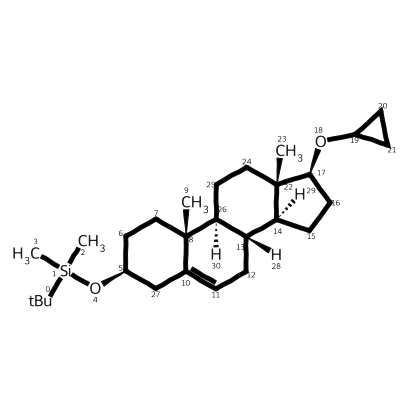 CC(C)(C)[Si](C)(C)O[C@H]1CC[C@@]2(C)C(=CC[C@H]3[C@@H]4CC[C@H](OC5CC5)[C@@]4(C)CC[C@@H]32)C1